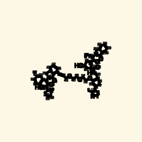 Cc1ncsc1-c1ccc(CNC(=O)[C@@H]2C[C@@H](O)CN2C(=O)[C@H](C(C)C)N2Cc3ccccc3C2=O)c(OCCOCCOCC#Cc2cccc3c2C(=O)N(C(C(=O)Nc2nccs2)c2cc(F)ccc2O)C3)c1